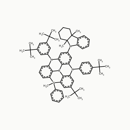 CC(C)(C)c1ccc(N2c3cc(N4c5ccccc5C5(C)CCCCC45C)cc4c3B3c5c(cccc5[Si](C)(c5ccccc5)c5cc(C(C)(C)C)cc2c53)N4c2cc(C(C)(C)C)cc(C(C)(C)C)c2)cc1